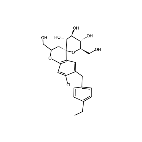 CCc1ccc(Cc2cc3c(cc2Cl)OC(CO)C[C@]32O[C@H](CO)[C@@H](O)[C@H](O)[C@H]2O)cc1